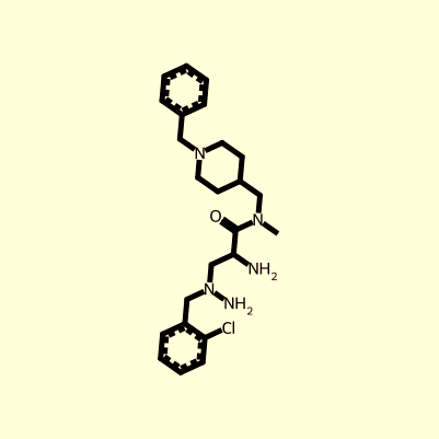 CN(CC1CCN(Cc2ccccc2)CC1)C(=O)C(N)CN(N)Cc1ccccc1Cl